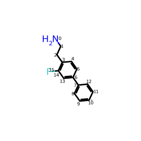 NCCc1ccc(-c2cc[c]cc2)cc1F